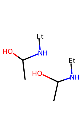 CCNC(C)O.CCNC(C)O